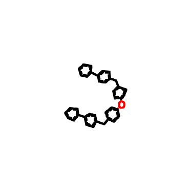 c1ccc(-c2ccc(Cc3ccc(Oc4ccc(Cc5ccc(-c6ccccc6)cc5)cc4)cc3)cc2)cc1